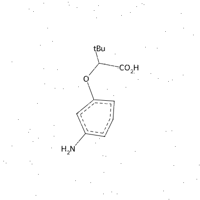 CC(C)(C)C(Oc1cccc(N)c1)C(=O)O